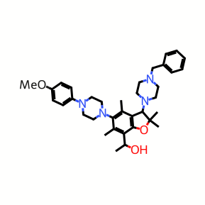 COc1ccc(N2CCN(c3c(C)c(C(C)O)c4c(c3C)C(N3CCN(Cc5ccccc5)CC3)C(C)(C)O4)CC2)cc1